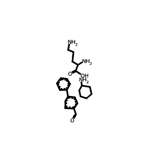 NC1CCCCC1.NCCCC(N)C(=O)O.O=Cc1ccc(-c2ccccc2)cc1